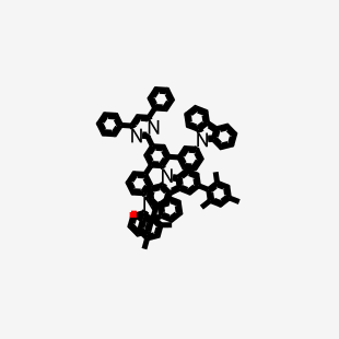 Cc1cc(C)c(-c2ccc3c(c2)c2cc(-c4c(C)cc(C)cc4C)ccc2n3-c2c(-c3cccc(-n4c5ccccc5c5ccccc54)c3)cc(-c3nc(-c4ccccc4)cc(-c4ccccc4)n3)cc2-c2cccc(-n3c4ccccc4c4ccccc43)c2)c(C)c1